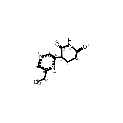 O=C1CCC(c2cncc(CCl)n2)C(=O)N1